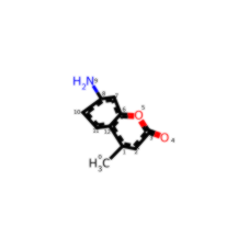 Cc1[c]c(=O)oc2cc(N)ccc12